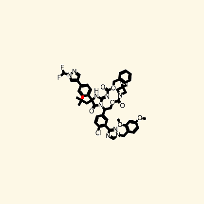 COc1ccc(Cn2cnc(-c3cc(C(COC(=O)N4CC(F)(F)C4)N4C(=O)C(CC(C)(C)C)(c5ccc(-c6cnn(C(F)F)c6)cc5)NC4=NC(=O)OCc4ccccc4)ccc3Cl)n2)c(OC)c1